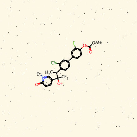 CCn1cc(C(O)(C(C)c2ccc(-c3ccc(OC(=O)OC)c(F)c3)cc2Cl)C(F)(F)F)ccc1=O